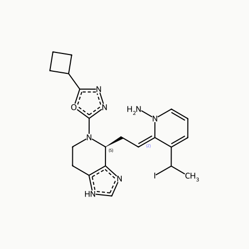 CC(I)C1=CC=CN(N)/C1=C\C[C@H]1c2nc[nH]c2CCN1c1nnc(C2CCC2)o1